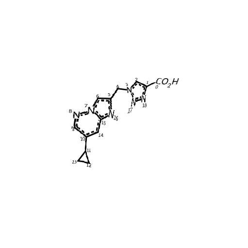 O=C(O)c1cn(Cc2cn3ncc(C4CC4)cc3n2)nn1